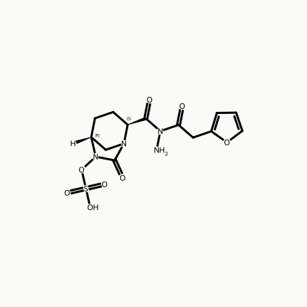 NN(C(=O)Cc1ccco1)C(=O)[C@@H]1CC[C@@H]2CN1C(=O)N2OS(=O)(=O)O